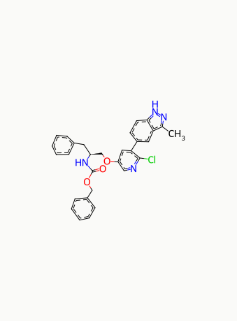 Cc1n[nH]c2ccc(-c3cc(OC[C@H](Cc4ccccc4)NC(=O)OCc4ccccc4)cnc3Cl)cc12